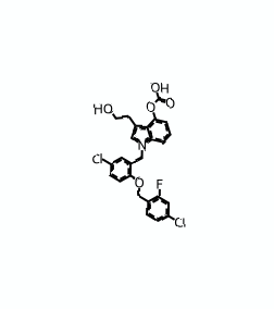 O=C(O)Oc1cccc2c1c(CCO)cn2Cc1cc(Cl)ccc1OCc1ccc(Cl)cc1F